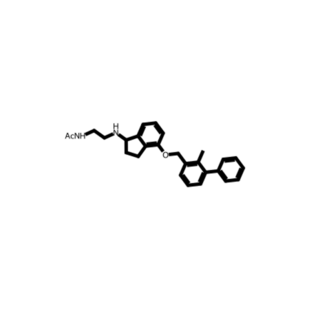 CC(=O)NCCNC1CCc2c(OCc3cccc(-c4ccccc4)c3C)cccc21